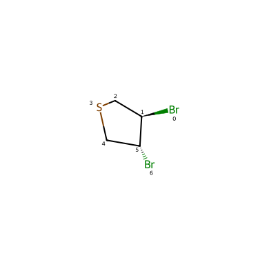 Br[C@@H]1CSC[C@H]1Br